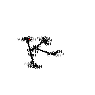 COCC1OC(CNC(=O)CCCCCCCCCCC(=O)NC(CCC(=O)NC(CCC(=O)NCCCCCCOC2OCC(CO)C(O)C(O)C2NC(C)=O)C(=O)NCCCCCCOC2OC(CO)C(O)C(O)C2NC(C)=O)C(=O)NCCCCCCOC2OC(CO)C(O)C(O)C2NC(C)=O)CC1O